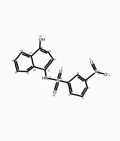 O=[N+]([O-])c1cccc(S(=O)(=O)Nc2ccc(O)c3ccccc23)c1